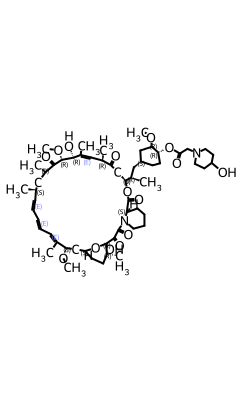 CO[C@H]1C[C@@H]2CC[C@@H](C)[C@@](O)(O2)C(=O)C(=O)N2CCCC[C@H]2C(=O)O[C@H]([C@H](C)C[C@@H]2CC[C@@H](OC(=O)CN3CCC(O)CC3)[C@H](OC)C2)CC(=O)[C@H](C)/C=C(\C)[C@@H](O)[C@@H](OC)C(=O)[C@H](C)C[C@H](C)/C=C/C=C/C=C/1C